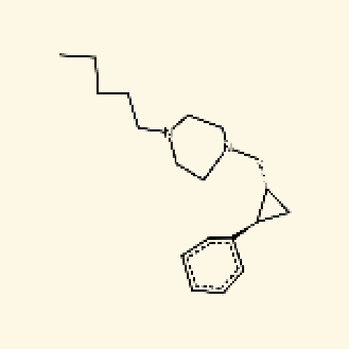 CCCCCN1CCN(C[C@@H]2C[C@H]2c2ccccc2)CC1